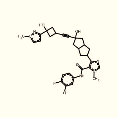 Cn1ccc(C2(O)CC(C#CC3(O)CC4CC(c5ncn(C)c5C(=O)Nc5ccc(F)c(Cl)c5)CC4C3)C2)n1